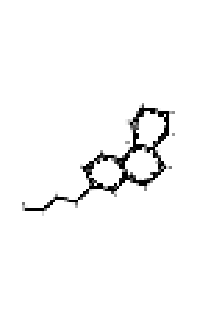 CCCCc1ccc2c(ccc3ccccc32)c1